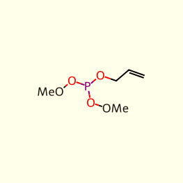 C=CCOP(OOC)OOC